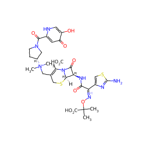 CC(C)(O/N=C(\C(=O)N[C@@H]1C(=O)N2C(C(=O)O)=C(C[N+](C)(C)[C@@H]3CCN(C(=O)c4cc(=O)c(O)c[nH]4)C3)CS[C@H]12)c1csc(N)n1)C(=O)O